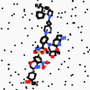 CC(C)c1ccccc1[C@@H]1CCCN1C1CC2(CCN(c3ccc(C(=O)NS(=O)(=O)c4cc5c(c([N+](=O)[O-])c4)N[C@H](C4CCC(C)(O)CC4)CO5)c(N4C[C@@H]5COC[C@H]5Oc5nc6[nH]ccc6cc54)c3)CC2)C1